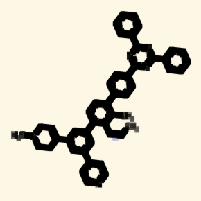 C/C=C\c1c(-c2cc(C3=CCN(C)CC3)cc(-c3ccncc3)c2)ccc(-c2ccc(-c3nc(-c4ccccc4)nc(-c4ccccc4)n3)cc2)c1C